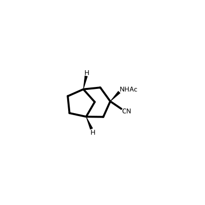 CC(=O)N[C@@]1(C#N)C[C@@H]2CC[C@@H](C2)C1